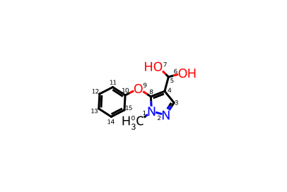 Cn1ncc(C(O)O)c1Oc1ccccc1